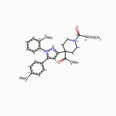 COC(=O)C1(c2cc(-c3ccc(OC)cc3)n(-c3ccccc3OC)n2)CCN(C(=O)N(C)O)CC1